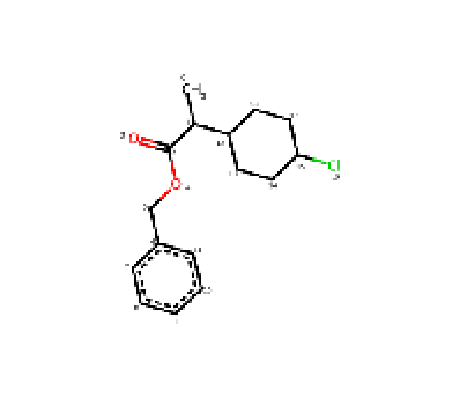 CC(C(=O)OCc1ccccc1)C1CCC(Cl)CC1